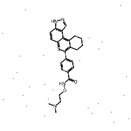 CN(C)CCONC(=O)c1ccc(-c2nc3ccc4[nH]ncc4c3c3c2CCCC3)cc1